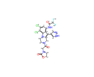 O=C(Nc1cc(Cl)c(Cl)c2c1c(-c1cn[nH]c1)c1n2CCN(C(=O)CN2CCOC2=O)C1)C(F)F